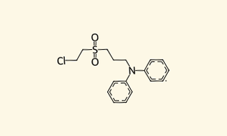 O=S(=O)(CCCl)CCCN(c1c[c]ccc1)c1ccccc1